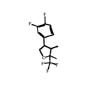 CC1C(c2ccc(F)c(F)c2)COC1(C)C(F)(F)F